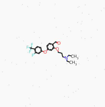 CCN(CC)CCCOc1cc(Oc2ccc(C(F)(F)F)c(F)c2)ccc1C=O